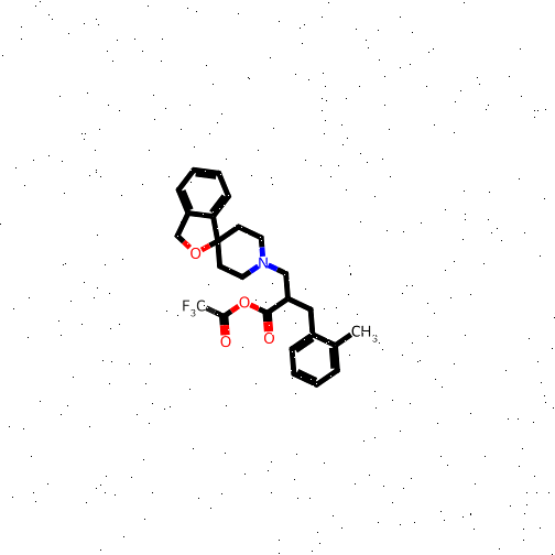 Cc1ccccc1CC(CN1CCC2(CC1)OCc1ccccc12)C(=O)OC(=O)C(F)(F)F